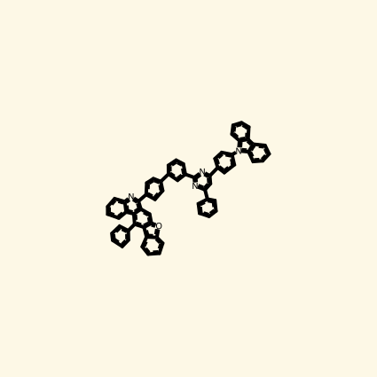 c1ccc(-c2cc(-c3ccc(-n4c5ccccc5c5ccccc54)cc3)nc(-c3cccc(-c4ccc(-c5nc6ccccc6c6c(-c7ccccc7)c7c(cc56)oc5ccccc57)cc4)c3)n2)cc1